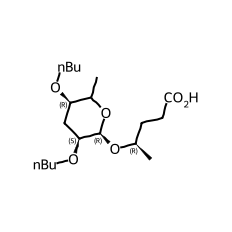 CCCCO[C@H]1C[C@@H](OCCCC)C(C)O[C@H]1O[C@H](C)CCC(=O)O